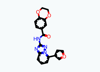 O=C(Nc1nc2cccc(-c3ccoc3)n2n1)c1ccc2c(c1)OCCO2